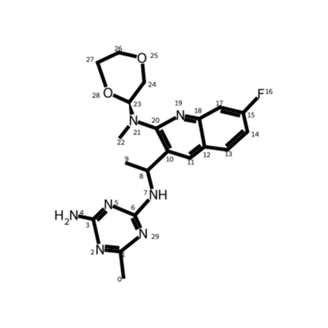 Cc1nc(N)nc(NC(C)c2cc3ccc(F)cc3nc2N(C)[C@@H]2COCCO2)n1